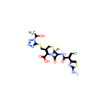 CC(O)n1nnnc1SCC1=C(C(=O)O)N2C(=O)C(NC(=O)C(=CCl)c3csc(N)n3)[C@@H]2SC1